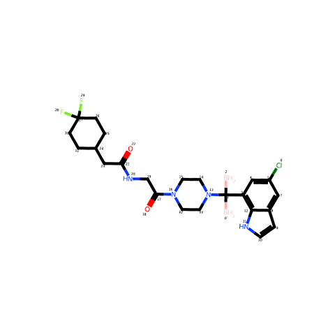 BC(B)(c1cc(Cl)cc2cc[nH]c12)N1CCN(C(=O)CNC(=O)CC2CCC(F)(F)CC2)CC1